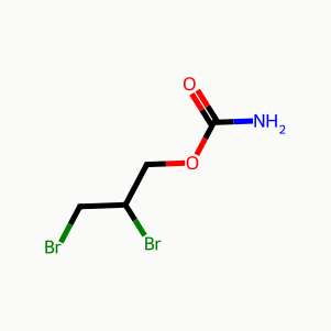 NC(=O)OCC(Br)CBr